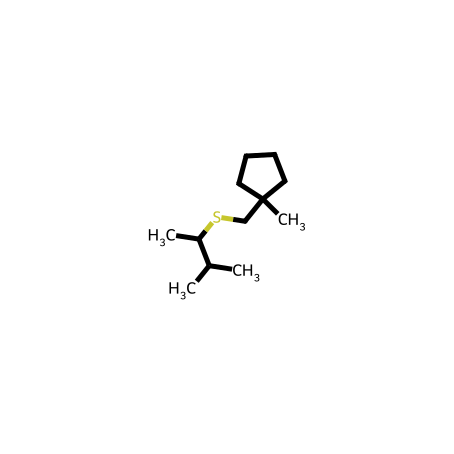 CC(C)C(C)SCC1(C)CCCC1